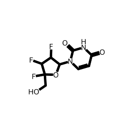 O=c1ccn(C2OC(F)(CO)C(F)C2F)c(=O)[nH]1